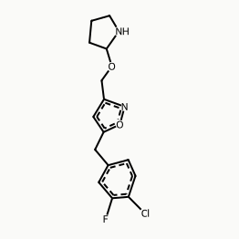 Fc1cc(Cc2cc(COC3CCCN3)no2)ccc1Cl